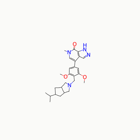 COc1cc(-c2cn(C)c(=O)c3[nH]ncc23)cc(OC)c1CN1CC2CC(C(C)C)CC2C1